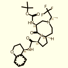 C[C@H](N1CC[C@H]2CC[C@@H](C(=O)N[C@@H]3CCOc4ccccc43)N2C(=O)[C@@H](NC(=O)OC(C)(C)C)C1)C(F)(F)F